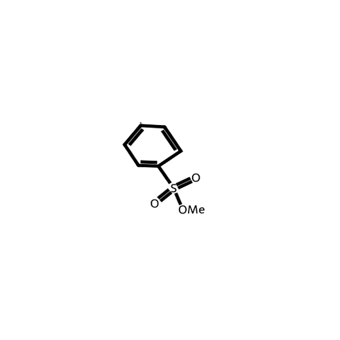 COS(=O)(=O)c1cc[c]cc1